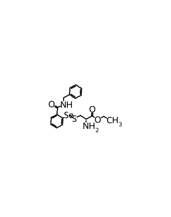 CCOC(=O)[C@@H](N)CS[Se]c1ccccc1C(=O)NCc1ccccc1